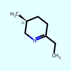 CCC1=NC[C@@H](C)CC1